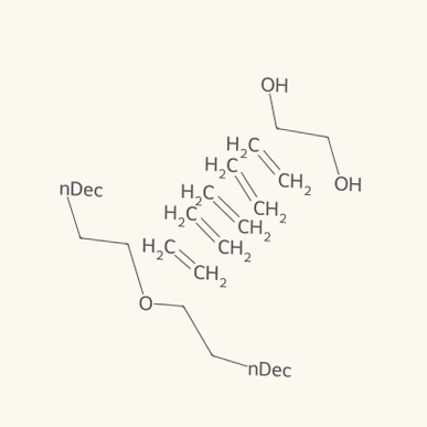 C=C.C=C.C=C.C=C.C=C.CCCCCCCCCCCCOCCCCCCCCCCCC.OCCO